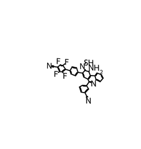 N#Cc1cccc(-c2nc3ccccc3c3c2C=C(c2ccc(-c4c(F)c(F)c(C#N)c(F)c4F)cc2)/C(=N/S)C3N)c1